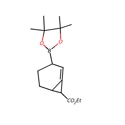 CCOC(=O)C1C2=CC(B3OC(C)(C)C(C)(C)O3)CCC21